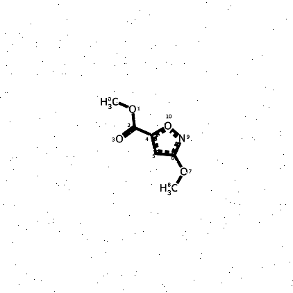 COC(=O)c1cc(OC)no1